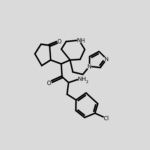 NC(Cc1ccc(Cl)cc1)C(=O)C(C1CCCC1=O)C1(CCn2ccnc2)CCNCC1